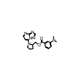 CN(C)c1cccc(C(=O)OCC2CCCN2c2ccnc3ncnn23)c1